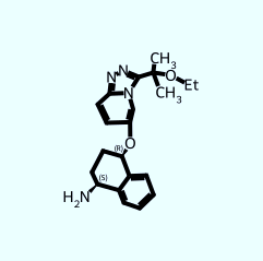 CCOC(C)(C)c1nnc2ccc(O[C@@H]3CC[C@H](N)c4ccccc43)cn12